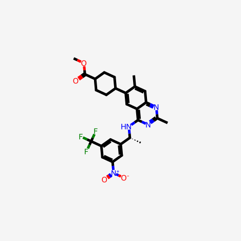 COC(=O)C1CCC(c2cc3c(N[C@H](C)c4cc([N+](=O)[O-])cc(C(F)(F)F)c4)nc(C)nc3cc2C)CC1